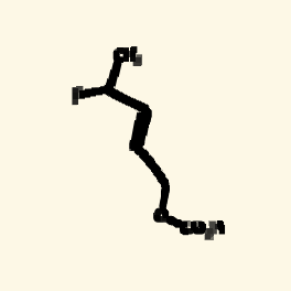 CC(F)C=CCOC(=O)O